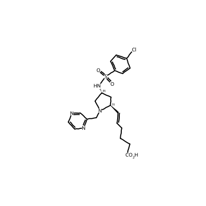 O=C(O)CCCC=C[C@@H]1C[C@@H](NS(=O)(=O)c2ccc(Cl)cc2)CN1Cc1cnccn1